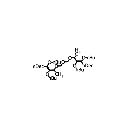 CCCCCCCCCCC(OCCCC)=C(OCCCC)C(C)OCOCOC(C)C(OCCCC)=C(CCCCCCCCCC)OCCCC